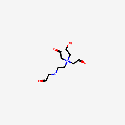 O=[C]C[N]CC[N+](C[C]=O)(C[C]=O)CCO